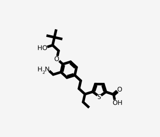 CCC(CCc1ccc(OCC(O)C(C)(C)C)c(CN)c1)c1ccc(C(=O)O)s1